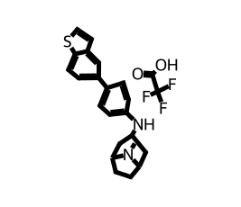 CN1C2CCC1CC(Nc1ccc(-c3ccc4sccc4c3)cc1)C2.O=C(O)C(F)(F)F